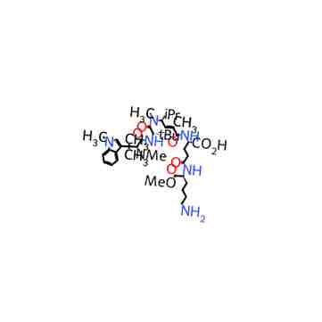 CN[C@H](C(=O)N[C@H](C(=O)N(C)[C@H](/C=C(\C)C(=O)N[C@H](CCC(=O)N[C@@H](CCCCN)C(=O)OC)C(=O)O)C(C)C)C(C)(C)C)C(C)(C)c1cn(C)c2ccccc12